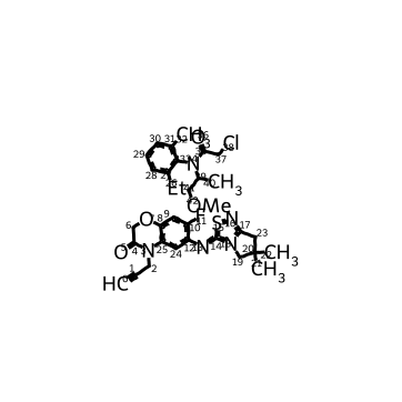 C#CCN1C(=O)COc2cc(F)c(/N=c3\snc4n3CC(C)(C)C4)cc21.CCc1cccc(C)c1N(C(=O)CCl)C(C)COC